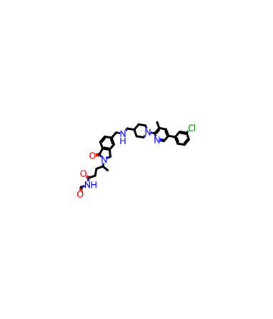 Cc1cc(-c2cccc(Cl)c2)cnc1N1CCC(CNCc2ccc3c(c2)CN(C(C)CCC(=O)NC=O)C3=O)CC1